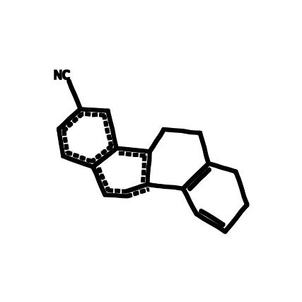 N#Cc1ccc2ccc3c(c2c1)CCC1=C3C=CCC1